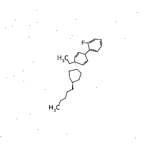 CCCCC[C@H]1CC[C@H](C2(CC)C=CC(c3ccccc3F)C=C2)CC1